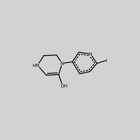 OC1=CNCCN1c1ccc(I)nc1